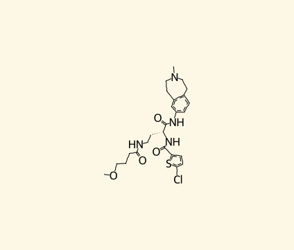 COCCCC(=O)NCC[C@@H](NC(=O)c1ccc(Cl)s1)C(=O)Nc1ccc2c(c1)CCN(C)CC2